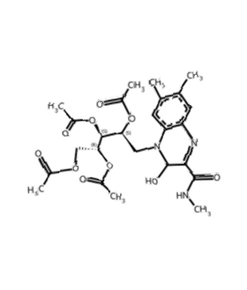 CNC(=O)C1=Nc2cc(C)c(C)cc2N(C[C@H](OC(C)=O)[C@H](OC(C)=O)[C@@H](COC(C)=O)OC(C)=O)C1O